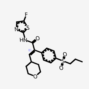 CCCS(=O)(=O)c1ccc(/C(=C\C2CCOCC2)C(=O)Nc2ncc(F)s2)cc1